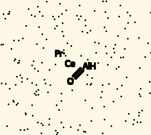 [Ce].[O]=[AlH].[Pr]